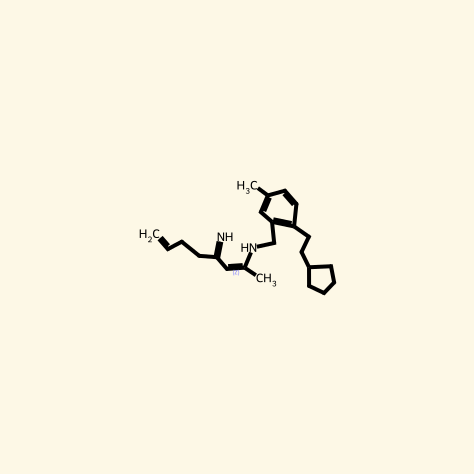 C=CCCC(=N)/C=C(/C)NCc1cc(C)ccc1CCC1CCCC1